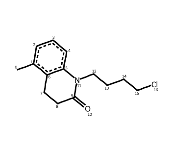 Cc1cccc2c1CCC(=O)N2CCCCCl